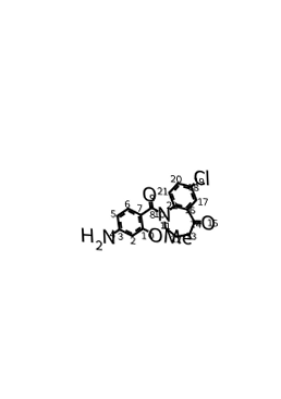 COc1cc(N)ccc1C(=O)N1CCCC(=O)c2cc(Cl)ccc21